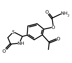 CC(=O)c1cc(C2NC(=O)CS2)ccc1OC(N)=O